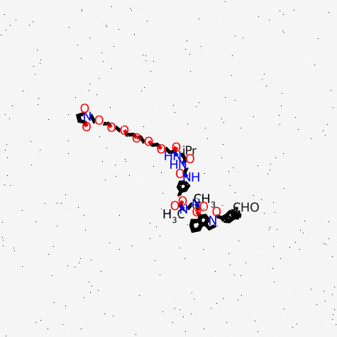 CC(C)C(NC(=O)CCOCCOCCOCCOCCOCCOCCN1C(=O)C=CC1=O)C(=O)NCC(=O)Nc1ccc(COC(=O)N(C)CCN(C)C(=O)Oc2cc3c(c4ccccc24)CCN3C(=O)C23C4CC5C2C26C4C3C2C56C=O)cc1